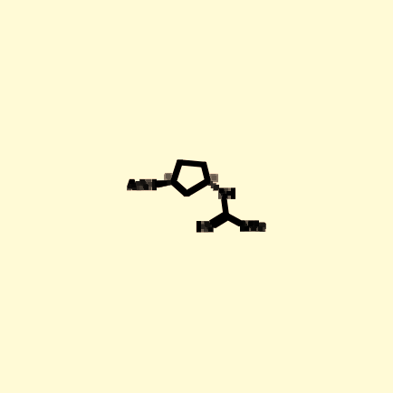 CNC(=N)N[C@H]1CC[C@H](NC(C)=O)C1